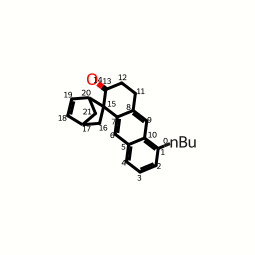 CCCCc1cccc2cc3c(cc12)CCC(=O)C31CC2C=CC1C2